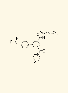 COCCc1noc(C2CC(c3ccc(CC(F)F)cc3)CN(C(=O)N3CCSCC3)C2)n1